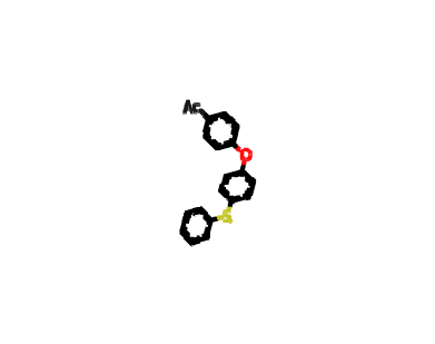 CC(=O)c1ccc(Oc2ccc(Sc3ccccc3)cc2)cc1